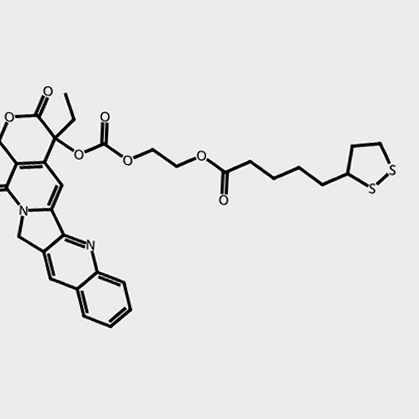 CCC1(OC(=O)OCCOC(=O)CCCCC2CCSS2)C(=O)OCc2c1cc1n(c2=O)Cc2cc3ccccc3nc2-1